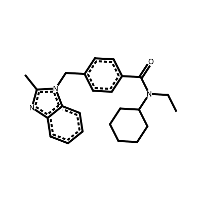 CCN(C(=O)c1ccc(Cn2c(C)nc3ccccc32)cc1)C1CCCCC1